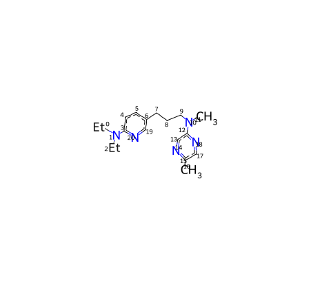 CCN(CC)c1ccc(CCCN(C)c2cnc(C)cn2)cn1